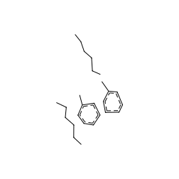 CCCCCC.CCCCCC.Cc1ccccc1.Cc1ccccc1